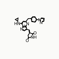 O=C1C/C(=C\c2cnn3c(NC4CC4)cc(Cc4ccc(-n5cccn5)cc4)nc23)C(=O)N1